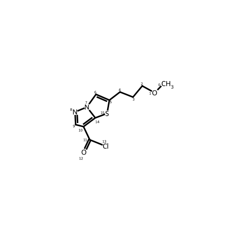 COCCCc1cn2ncc(C(=O)Cl)c2s1